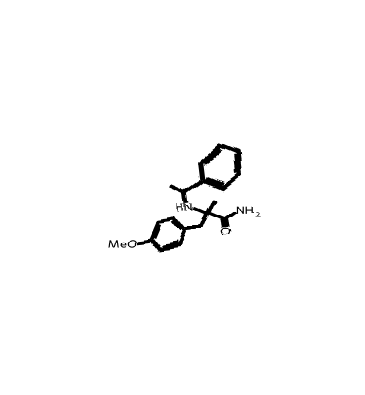 COc1ccc(CC(C)(NC(C)c2ccccc2)C(N)=O)cc1